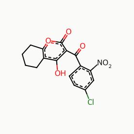 O=C(c1ccc(Cl)cc1[N+](=O)[O-])c1c(O)c2c(oc1=O)CCCC2